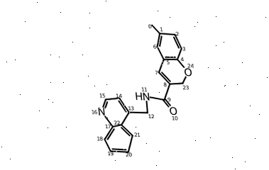 Cc1ccc2c(c1)C=C(C(=O)NCc1ccnc3ccccc13)CO2